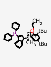 C=CCOc1c(C(C)(C)C)cc(C(C)(C)C)cc1[Si](C)(C)C1C=C(P(c2ccccc2)c2ccccc2)c2ccccc21